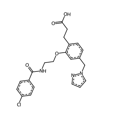 O=C(O)CCc1ccc(Cn2cccn2)cc1OCCNC(=O)c1ccc(Cl)cc1